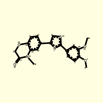 COc1ccc(-c2nc(-c3ccc4c(c3)N(C)C(=O)CO4)cs2)cc1OC